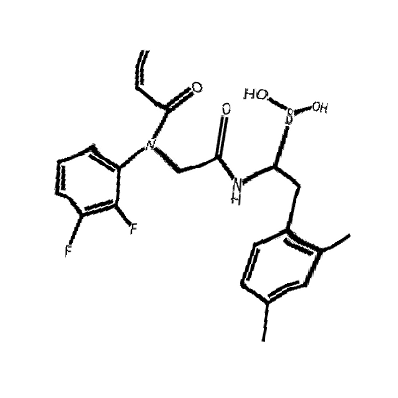 C=CC(=O)N(CC(=O)NC(Cc1ccc(C)cc1C)B(O)O)c1cccc(F)c1F